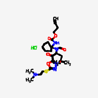 C#CCCOC(=O)NC1(N(C=O)C(CC(C)C)C(=O)c2nnc(SCCN(C)C)o2)CCCCC1.Cl